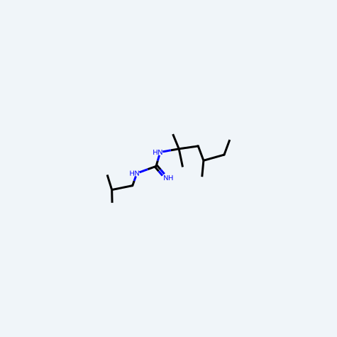 CCC(C)CC(C)(C)NC(=N)NCC(C)C